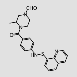 CC1CN(C=O)CCN1C(=O)c1ccc(NSc2cccc3cccnc23)cc1